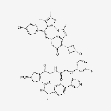 Cc1ncsc1-c1ccc([C@H](C)NC(=O)[C@@H]2C[C@@H](O)CN2C(=O)CNC(=O)COc2cc(F)cc(O[C@H]3C[C@@H](NC(=O)C[C@@H]4N=C(c5ccc(Cl)cc5)c5c(sc(C)c5C)-n5c(C)nnc54)C3)c2)cc1